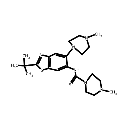 CN1CCN(C(=S)Nc2cc3sc(C(C)(C)C)nc3cc2N2CCN(C)CC2)CC1